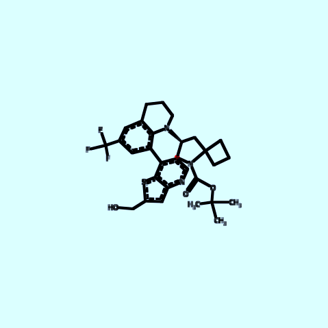 CC(C)(C)OC(=O)N1C[C@@H](N2CCCc3cc(C(F)(F)F)cc(-c4ccnc5cc(CO)sc45)c32)CC12CCC2